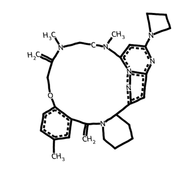 C=C1COc2ccc(C)cc2C(=C)N2CCCCC2c2cc3nc(N4CCC4)cc(n3n2)N(C)CCN1C